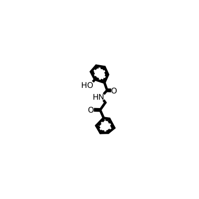 O=C(CNC(=O)c1ccccc1O)c1ccccc1